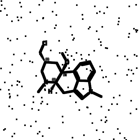 CO[C@]12C[C@@H](CCl)CN(C)[C@@H]1Cc1cn(C)c3cccc2c13